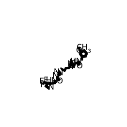 COc1cccc(CNC(=O)c2cn(CCCCn3cc(C(=O)NCc4cc(C(F)(F)F)ccn4)nn3)nn2)c1